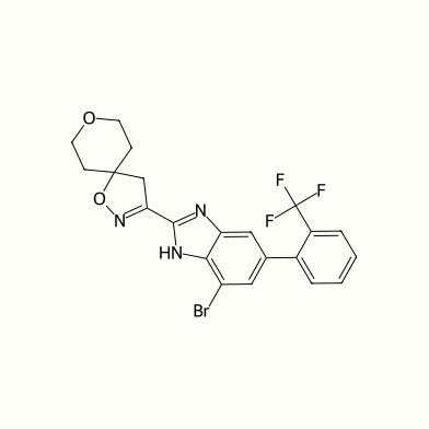 FC(F)(F)c1ccccc1-c1cc(Br)c2[nH]c(C3=NOC4(CCOCC4)C3)nc2c1